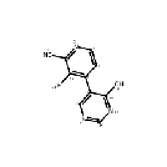 N#Cc1nccc(-c2cncnc2O)c1F